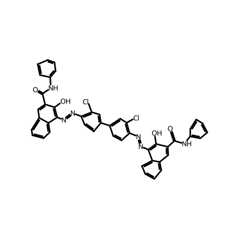 O=C(Nc1ccccc1)c1cc2ccccc2c(N=Nc2ccc(-c3ccc(N=Nc4c(O)c(C(=O)Nc5ccccc5)cc5ccccc45)c(Cl)c3)cc2Cl)c1O